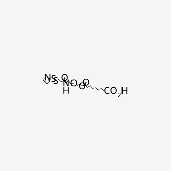 O=C(O)CCCCCCCC(=O)OCCOCCNC(=O)CCSSc1ccccn1